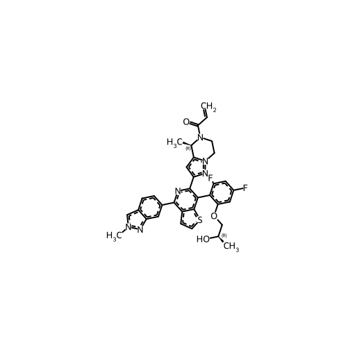 C=CC(=O)N1CCn2nc(-c3nc(-c4ccc5cn(C)nc5c4)c4ccsc4c3-c3c(F)cc(F)cc3OC[C@@H](C)O)cc2[C@H]1C